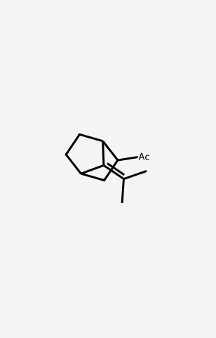 CC(=O)C1CC2CCC1C2=C(C)C